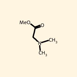 [CH2]OC(=O)CN(C)C